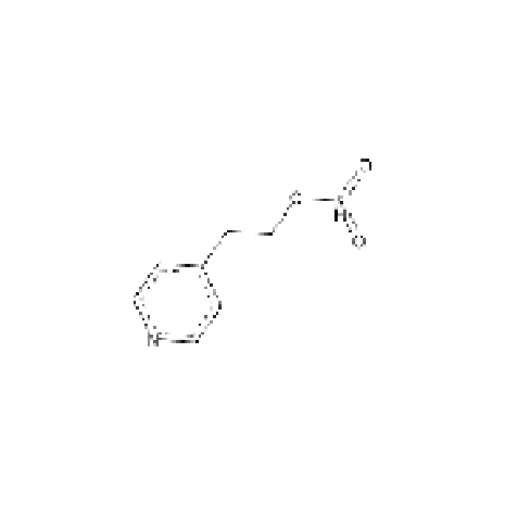 O=[SH](=O)OCCc1ccncc1